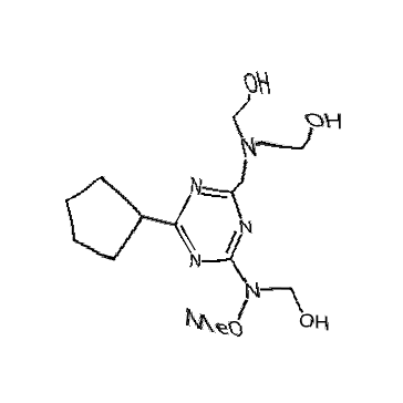 CON(CO)c1nc(C2CCCC2)nc(N(CO)CO)n1